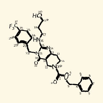 O=C(OCc1ccccc1)N1CCc2nc(NCCCO)n(Cc3ccc(C(F)(F)F)cc3)c(=O)c2C1